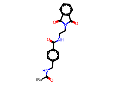 CC(C)(C)C(=O)NCc1ccc(C(=O)NCCN2C(=O)c3ccccc3C2=O)cc1